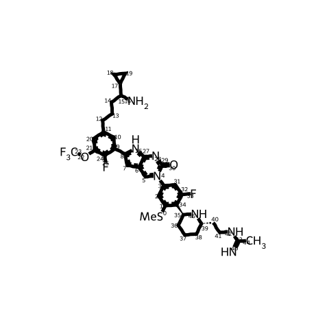 CSc1cc(-n2cc3cc(-c4cc(CCCC(N)C5CC5)cc(OC(F)(F)F)c4F)[nH]c3nc2=O)cc(F)c1[C@@H]1CCC[C@@H](CCNC(C)=N)N1